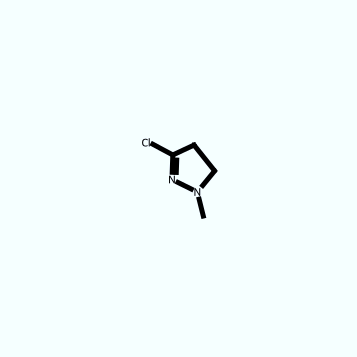 CN1C[C]C(Cl)=N1